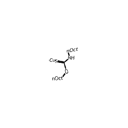 CCCCCCCCNC(=S)OCCCCCCCC.[Cu]